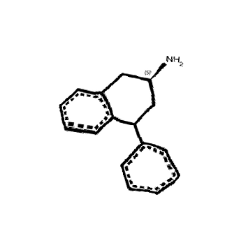 N[C@@H]1Cc2ccccc2C(c2ccccc2)C1